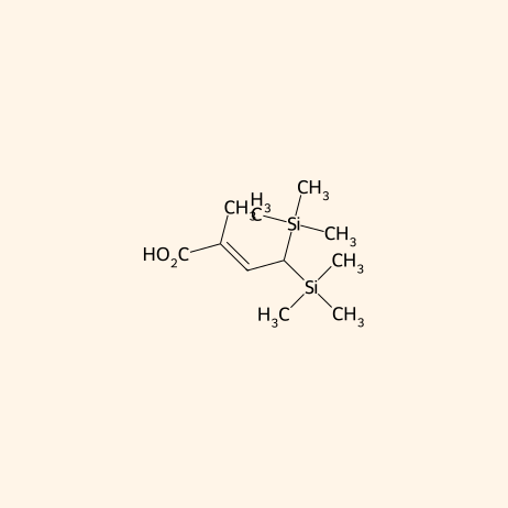 C/C(=C\C([Si](C)(C)C)[Si](C)(C)C)C(=O)O